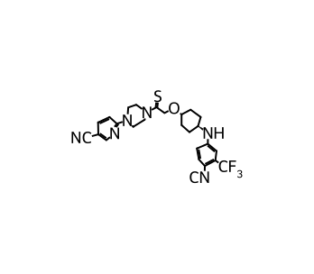 N#Cc1ccc(N2CCN(C(=S)CO[C@H]3CC[C@H](Nc4ccc(C#N)c(C(F)(F)F)c4)CC3)CC2)nc1